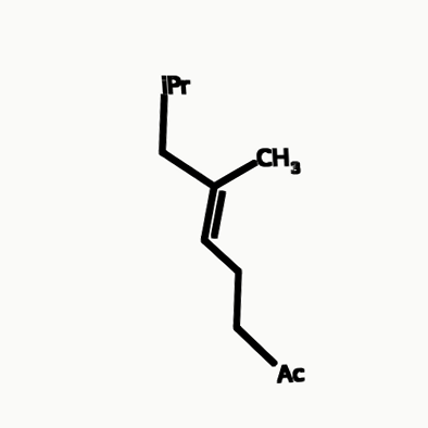 CC(=O)CC/C=C(\C)CC(C)C